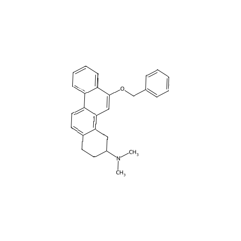 CN(C)C1CCc2ccc3c(cc(OCc4ccccc4)c4ccccc43)c2C1